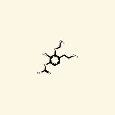 CCCc1ccc(OC(=O)O)c(O)c1OCC